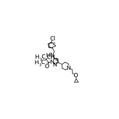 CC(C)(C)C(=O)n1nc(C2CCN(CCOC3CC3)CC2)cc1NCc1ccc(Cl)s1